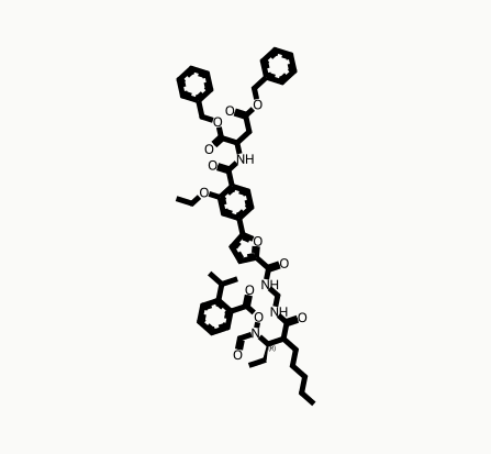 CCCCCC(C(=O)NCNC(=O)c1ccc(-c2ccc(C(=O)NC(CC(=O)OCc3ccccc3)C(=O)OCc3ccccc3)c(OCC)c2)o1)[C@@H](CC)N(C=O)OC(=O)c1ccccc1C(C)C